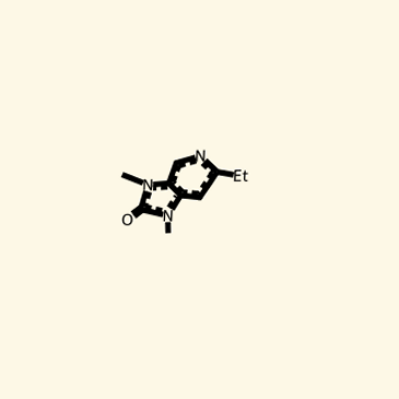 CCc1cc2c(cn1)n(C)c(=O)n2C